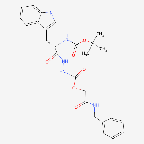 CC(C)(C)OC(=O)N[C@@H](Cc1c[nH]c2ccccc12)C(=O)NNC(=O)OCC(=O)NCc1ccccc1